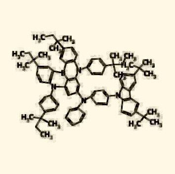 CCC(C)(C)c1ccc(N2c3ccc(C(C)(C)CC)cc3B3c4cc(C(C)(C)CC)ccc4N(c4ccc(C(C)(C)CC)cc4)c4cc(N(c5ccccc5)c5ccc(-n6c7ccc(C(C)(C)C)cc7c7cc(C(C)(C)C)ccc76)cc5)cc2c43)cc1